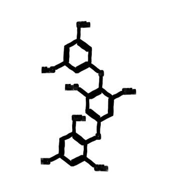 COc1cc(OC)cc(Oc2c(OC)cc(Oc3c(OC)cc(O)cc3OC)cc2OC)c1